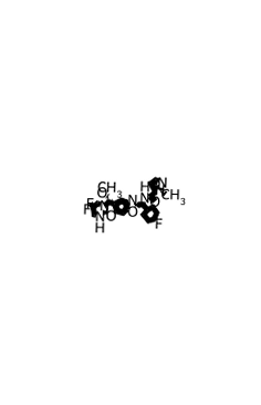 COC[C@H](c1ccc2oc([C@@H](NC(=O)c3ccnn3C)C3CCC(F)CC3)nc2c1)N1CC(F)(F)CNC1=O